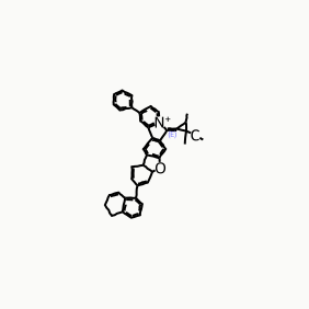 CCC1(C)/C(=C2\c3cc4c(cc3-c3cc(-c5ccccc5)cc[n+]32)C2C=CC(c3cccc5c3C=CCC5)=CC2O4)C1C